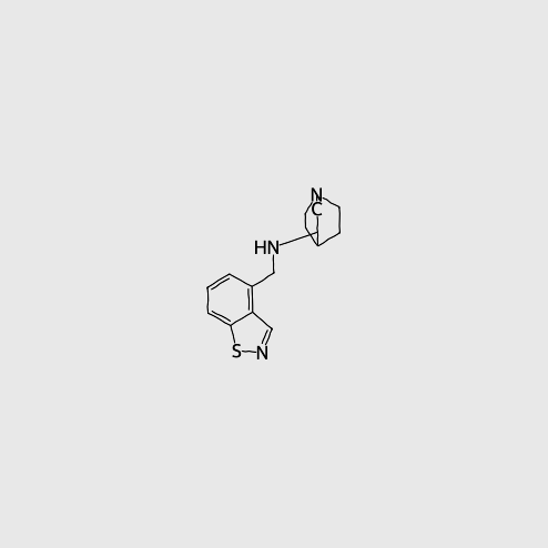 c1cc(CNC2CN3CCC2CC3)c2cnsc2c1